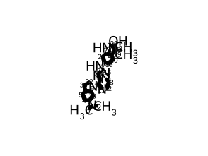 CN(C)c1ccc2c(c1)N(c1nccn3nc(Nc4ccc5c(c4)NC(O)C5(C)C)nc13)CC2